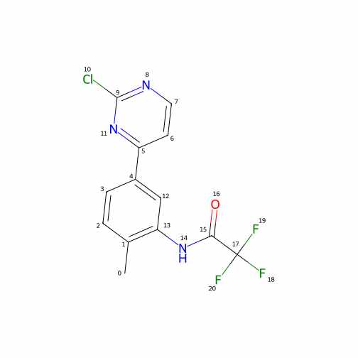 Cc1ccc(-c2ccnc(Cl)n2)cc1NC(=O)C(F)(F)F